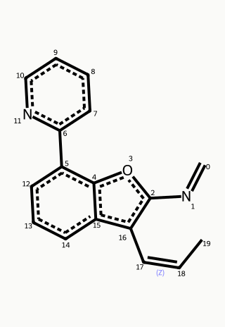 C=Nc1oc2c(-c3ccccn3)cccc2c1/C=C\C